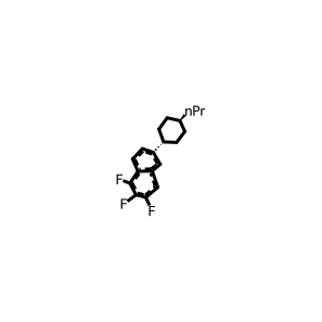 CCC[C@H]1CC[C@H](c2ccc3c(F)c(F)c(F)cc3c2)CC1